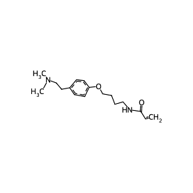 C=CC(=O)NCCCCOc1ccc(CCN(C)C)cc1